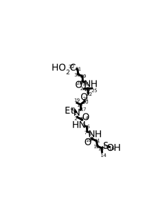 CCN(CC(=O)NCCNC(=O)CCC(C)SO)CC(C)COCC(C)(C)NC(=O)CCCC(=O)O